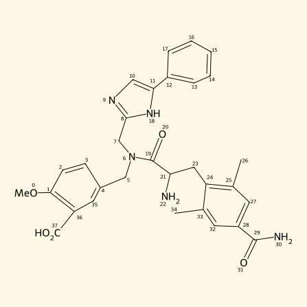 COc1ccc(CN(Cc2ncc(-c3ccccc3)[nH]2)C(=O)C(N)Cc2c(C)cc(C(N)=O)cc2C)cc1C(=O)O